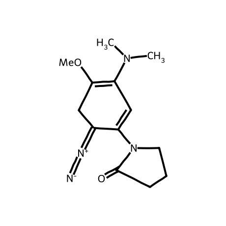 COC1=C(N(C)C)C=C(N2CCCC2=O)C(=[N+]=[N-])C1